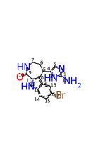 Nc1ncc(C2CCNC(=O)c3[nH]c4ccc(Br)cc4c32)[nH]1